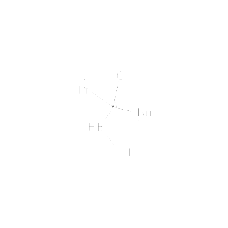 CBC(Cl)(C(C)C)C(C)CC